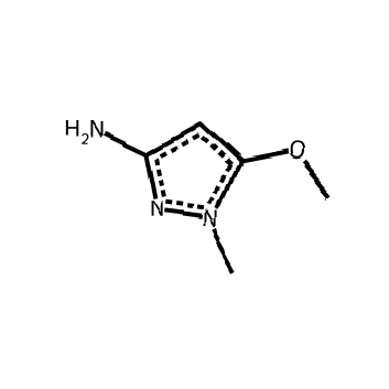 COc1cc(N)nn1C